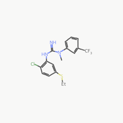 CCSc1ccc(Cl)c(NC(=N)N(C)c2cccc(C(F)(F)F)c2)c1